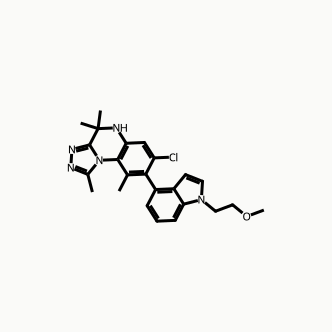 COCCn1ccc2c(-c3c(Cl)cc4c(c3C)-n3c(C)nnc3C(C)(C)N4)cccc21